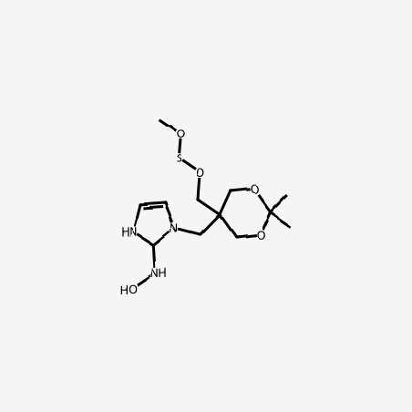 COSOCC1(CN2C=CNC2NO)COC(C)(C)OC1